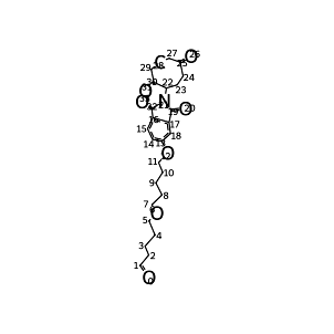 O=CCCCCOCCCCCOc1ccc2c(c1)C(=O)N(C1CCC(=O)CCCC1=O)C2=O